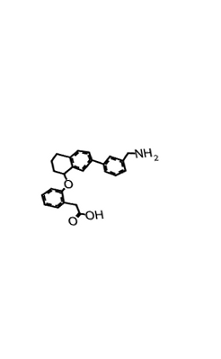 NCc1cccc(-c2ccc3c(c2)C(Oc2ccccc2CC(=O)O)CCC3)c1